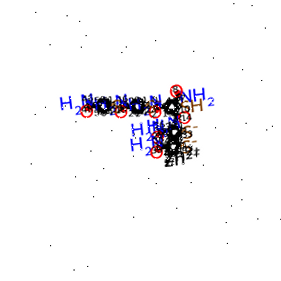 NC(=O)c1cc(C(N)=O)c(S)c(C(N)=O)c1.NC(=O)c1ccc([S-])cc1.NC(=O)c1ccc([S-])cc1.NC(=O)c1ccc([S-])cc1.NC(=O)c1ccc([S-])cc1.[Zn+2].[Zn+2]